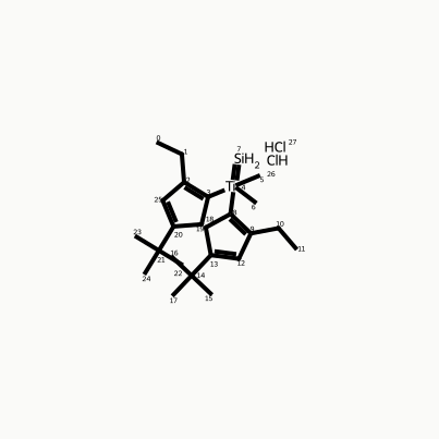 CCC1=[C]([Ti]([CH3])([CH3])(=[SiH2])[C]2=C(CC)C=C(C(C)(C)C)C2)CC(C(C)(C)C)=C1.Cl.Cl